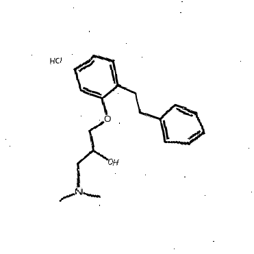 CN(C)CC(O)COc1ccccc1CCc1ccccc1.Cl